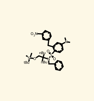 CCCCC(CCCC)(CO[Si](C)(C)C(C)(C)C)N(Cc1ccccc1)S(=O)(=O)c1ccc(N(C)C)cc1Cc1cccc([N+](=O)[O-])c1